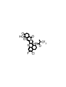 CC[C@@]1(O)C(=O)CCc2c1cc1n(c2=O)Cc2c-1nc1cc(F)c(Cl)c3c1c2[C@@H](NC(=O)[C@H](C)C(F)(F)F)CC3